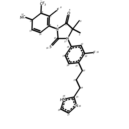 CC1(C)C(=O)N(C2=C(F)C(C(F)(F)F)C(C#N)C=C2)C(=S)N1c1ccc(CCCc2ncc[nH]2)c(F)c1